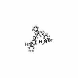 Nc1cc(C(=O)CN(CCOc2ccc3c4c([nH]c3c2)CCCC4)Cc2ccccc2)ccc1Br